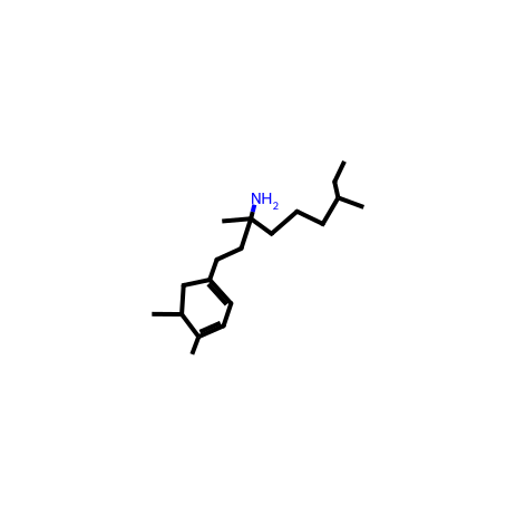 CCC(C)CCCC(C)(N)CCC1=CC=C(C)C(C)C1